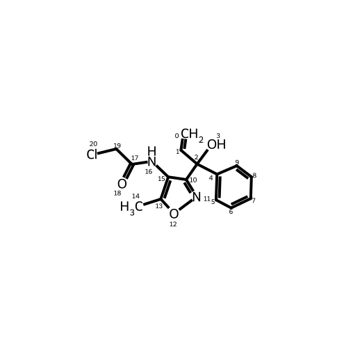 C=CC(O)(c1ccccc1)c1noc(C)c1NC(=O)CCl